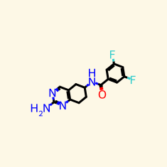 Nc1ncc2c(n1)CCC(NC(=O)c1cc(F)cc(F)c1)C2